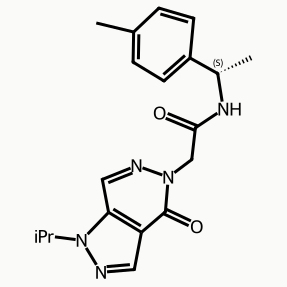 Cc1ccc([C@H](C)NC(=O)Cn2ncc3c(cnn3C(C)C)c2=O)cc1